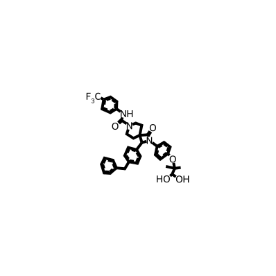 CC(C)(Oc1ccc(N2C(=O)C3(CCN(C(=O)Nc4ccc(C(F)(F)F)cc4)CC3)C2c2ccc(Cc3ccccc3)cc2)cc1)C(O)O